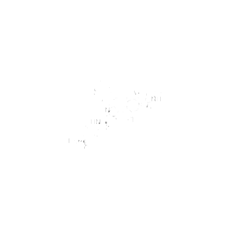 CC(C)(C)NS(=O)(=O)c1cc(Cl)c(-c2sc(C(=O)N[C@H]3C[C@H](C(=O)O)C3)nc2CC2CCCCC2)cc1Cl